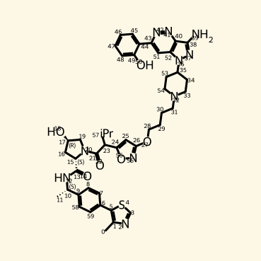 Cc1ncsc1-c1ccc([C@H](C)NC(=O)[C@@H]2C[C@@H](O)CN2C(=O)C(c2cc(OCCCCN3CCC(n4nc(N)c5nnc(-c6ccccc6O)cc54)CC3)no2)C(C)C)cc1